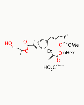 C=C(C)C(=O)OC(C)CCO.C=C(CC)C(=O)OCCCCCC.C=C(CC=Cc1ccccc1)C(=O)OC.C=CC(=O)O